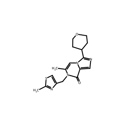 Cc1nc(Cn2c(C)cn3c(C4CCOCC4)ncc3c2=O)cs1